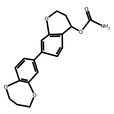 NC(=O)OC1CCOc2cc(-c3ccc4c(c3)OCCCO4)ccc21